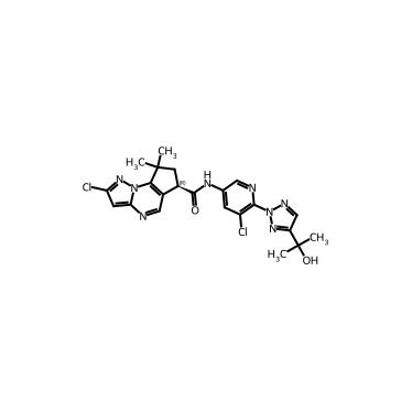 CC(C)(O)c1cnn(-c2ncc(NC(=O)[C@@H]3CC(C)(C)c4c3cnc3cc(Cl)nn43)cc2Cl)n1